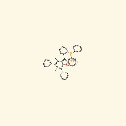 Cc1c(-c2ccccc2)c(C)c2c(-c3ccccc3P(c3ccccc3)c3ccccc3)c(P)oc2c1-c1ccccc1